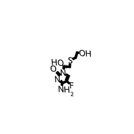 Nc1nc(=O)n([C@@H](O)CSCCO)cc1F